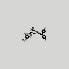 NC(=O)C1CN(CCCCC(c2ccc(F)cc2)c2ccc(F)cc2)CCN1CC(=O)Nc1c(Cl)cc(N)cc1Cl